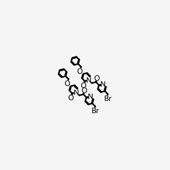 O=C(Cn1ccc(OCc2ccccc2)cc1=O)c1ccc(CBr)cn1.O=C(Cn1ccc(OCc2ccccc2)cc1=O)c1ccc(CBr)cn1